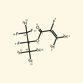 [2H]C([2H])=C(F)C(=O)OC(F)(C([2H])([2H])[2H])C([2H])(F)F